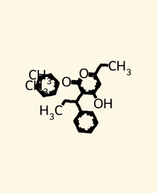 CC.CCc1cc(O)c(C(CC)c2ccccc2)c(=O)o1.c1ccccc1